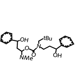 CNC(CC(O)c1ccccc1)OC(=O)N(CCC(O)c1ccccc1)CC(C)(C)C